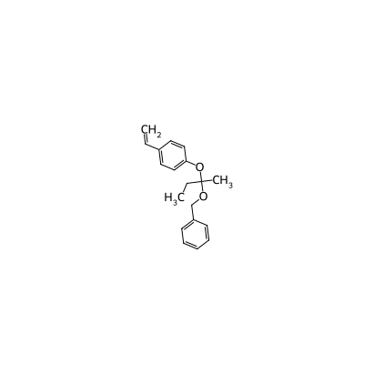 C=Cc1ccc(OC(C)(CC)OCc2ccccc2)cc1